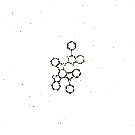 c1ccc(-c2nc(-n3c4ccccc4c4c5oc6ccccc6c5c5c(c6ccccc6n5-c5ccccc5)c43)nc3ccccc23)cc1